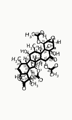 CC(=O)O[C@@H]1[C@H]2[C@H]3[C@H]([C@H](C)[C@H](O)[C@]2(C)[C@@H]2[C@@H]1[C@]1(C)C(=C[C@H]2C)OC(=O)[C@@]1(C)O)[C@@]1(C)[C@@H](OC(C)=O)[C@H]2O[C@H]2C[C@]1(O)C(=O)[C@@H]3OC(C)=O